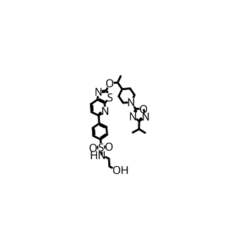 CC(C)c1noc(N2CCC(C(C)Oc3nc4ccc(-c5ccc(S(=O)(=O)NCCO)cc5)nc4s3)CC2)n1